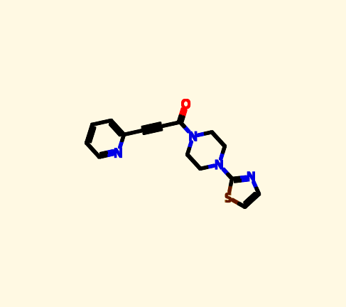 O=C(C#Cc1ccccn1)N1CCN(c2nccs2)CC1